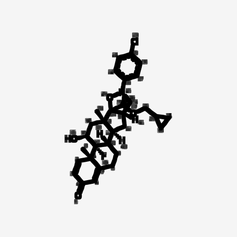 C[C@]12C=CC(=O)C=C1CC[C@H]1[C@@H]3C[C@H]4CN(c5ccc(Cl)cc5)O[C@@]4(C(=O)OCC4CC4)[C@@]3(C)C[C@H](O)[C@@]12F